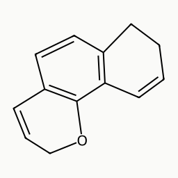 C1=Cc2c(ccc3c2OCC=C3)CC1